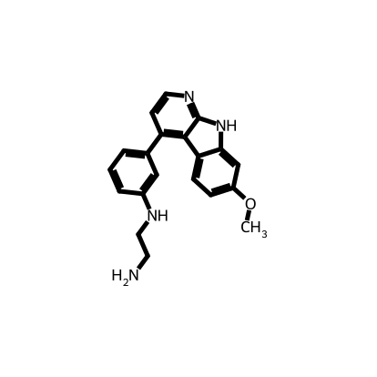 COc1ccc2c(c1)[nH]c1nccc(-c3cccc(NCCN)c3)c12